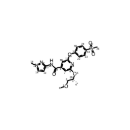 COC[C@@H](C)Oc1cc(C(=O)Nc2ccn(C)n2)cc(Oc2ccc(S(C)(=O)=O)cc2)n1